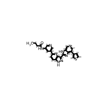 CCCC(=O)Nc1cncc(-c2ccc3[nH]nc(-c4nc5c(-c6ccsc6)cncc5[nH]4)c3n2)c1